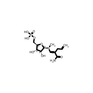 C=CC/C(=C\N(C)[C@@H]1O[C@H](COP(=O)(O)O)[C@@H](O)[C@H]1O)C(N)=O